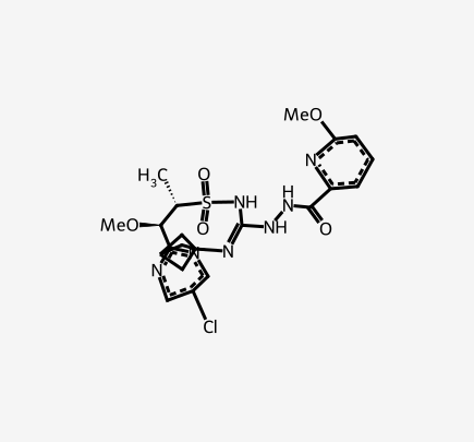 COc1cccc(C(=O)NNC(=NC23CC(C2)C3)NS(=O)(=O)[C@@H](C)[C@H](OC)c2ncc(Cl)cn2)n1